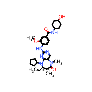 CC[C@@H]1[C@H](C)C(=O)N(C)c2cnc(Nc3ccc(C(=O)NC4CCC(O)CC4)cc3OC)nc2N1C1CCCC1